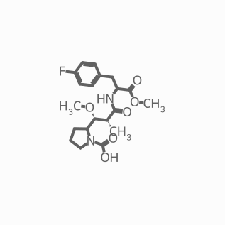 COC(=O)C(Cc1ccc(F)cc1)NC(=O)[C@H](C)[C@@H](OC)C1CCCN1C(=O)O